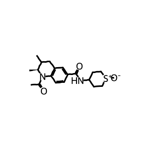 CC(=O)N1c2ccc(C(=O)NC3CC[S+]([O-])CC3)cc2CC(C)[C@@H]1C